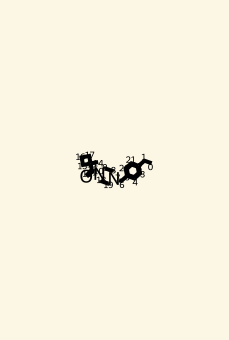 CCc1ccc(CN2CCN(C(=O)C3(C)CCC3)CC2)cc1